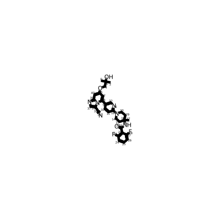 CC(C)(O)COc1cc(-c2ccc(N3CCC(C)(NC(=O)c4c(F)cccc4F)CC3)nc2)n2c(C#N)cnc2c1